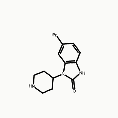 CC(C)c1ccc2[nH]c(=O)n(C3CCNCC3)c2c1